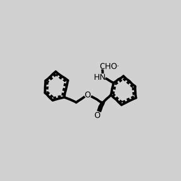 O=[C]Nc1ccccc1C(=O)OCc1ccccc1